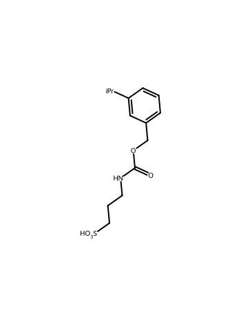 CC(C)c1cccc(COC(=O)NCCCS(=O)(=O)O)c1